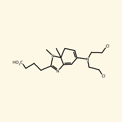 CN1C(CCCC(=O)O)=NC2=CC(N(CCCl)CCCl)=CCC21C